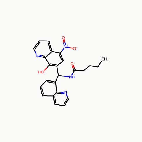 CCCCC(=O)NC(c1cc([N+](=O)[O-])c2cccnc2c1O)c1cccc2cccnc12